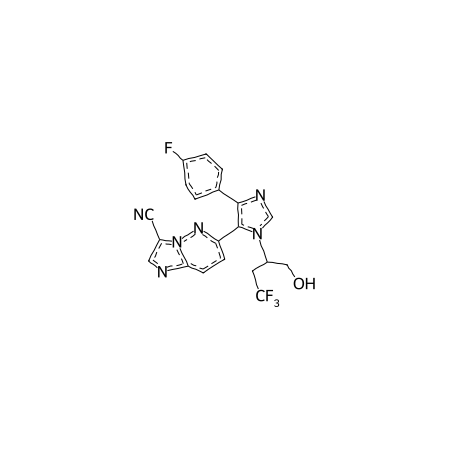 N#Cc1cnc2ccc(-c3c(-c4ccc(F)cc4)ncn3C(CO)CC(F)(F)F)nn12